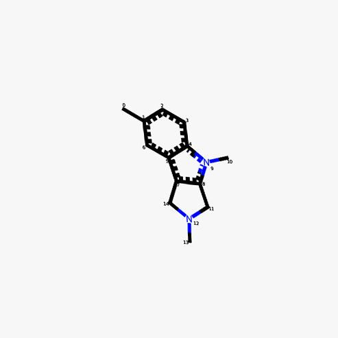 Cc1ccc2c(c1)c1c(n2C)CN(C)C1